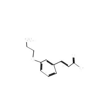 CCC(=O)/C=C/c1cccc(OCCNC)c1